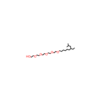 CCC(CCCCCCOCCOCCOCCOCCOCCO)CC(C)C